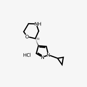 Cl.c1nn(C2CC2)cc1[C@H]1CNCCO1